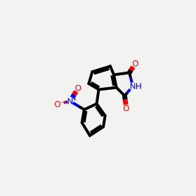 O=C1NC(=O)c2c1cccc2-c1ccccc1[N+](=O)[O-]